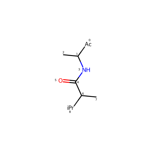 CC(=O)C(C)NC(=O)C(C)C(C)C